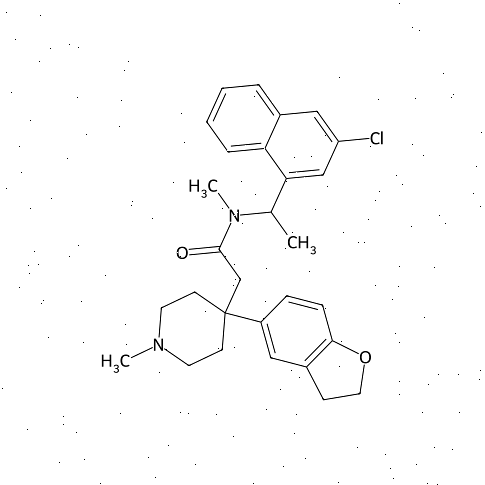 CC(c1cc(Cl)cc2ccccc12)N(C)C(=O)CC1(c2ccc3c(c2)CCO3)CCN(C)CC1